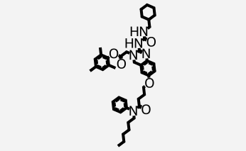 CCCCCCN(C(=O)CCCOc1ccc2c(c1)CN(CC(=O)Oc1c(C)cc(C)cc1C)C(NC(=O)NCC1CCCCC1)=N2)c1ccccc1